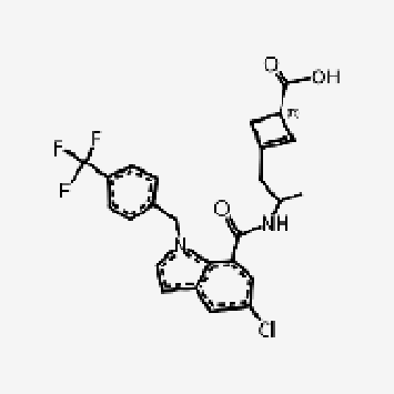 CC(CC1=C[C@H](C(=O)O)C1)NC(=O)c1cc(Cl)cc2ccn(Cc3ccc(C(F)(F)F)cc3)c12